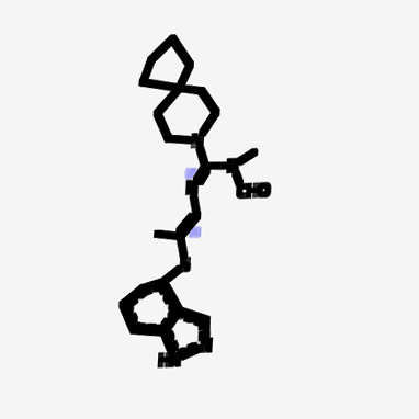 C/C(=C\N=C(/N(C)C=O)N1CCC2(CCCC2)CC1)Sc1cccc2[nH]ncc12